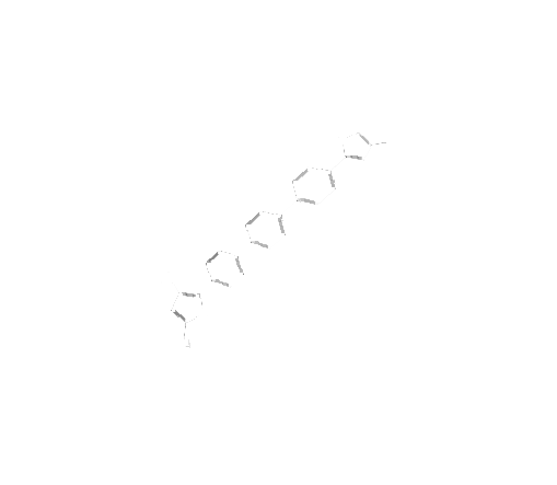 Cc1csc(-c2ccc(-c3ccc(-c4ccc(-c5sc(S)cc5C)cc4)cc3)cc2)c1